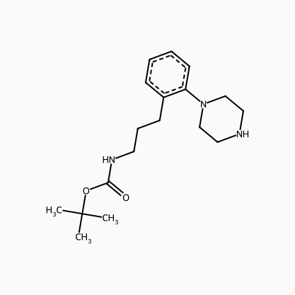 CC(C)(C)OC(=O)NCCCc1ccccc1N1CCNCC1